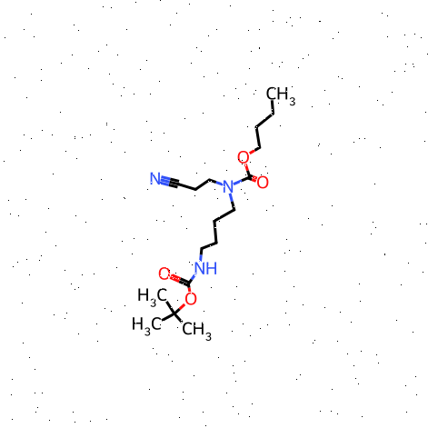 CCCCOC(=O)N(CCC#N)CCCCNC(=O)OC(C)(C)C